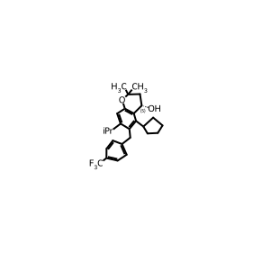 CC(C)c1cc2c(c(C3CCCC3)c1Cc1ccc(C(F)(F)F)cc1)[C@@H](O)CC(C)(C)O2